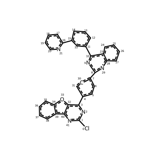 Clc1nc(-c2ccc(-c3nc(-c4cccc(-c5ccccn5)c4)c4ccccc4n3)cc2)c2oc3ccccc3c2n1